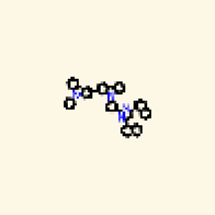 C1=Cc2c(n(-c3ccccc3)c3ccc(-c4ccc5c6ccccc6n(-c6cccc(-c7nc(-c8cccc9ccccc89)cc(-c8cccc9ccccc89)n7)c6)c5c4)cc23)CC1